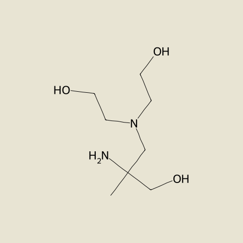 CC(N)(CO)CN(CCO)CCO